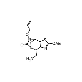 C=CCON1C(=O)N2CC1c1sc(OC)nc1[C@H]2CN